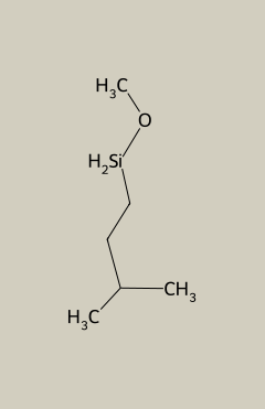 CO[SiH2]CCC(C)C